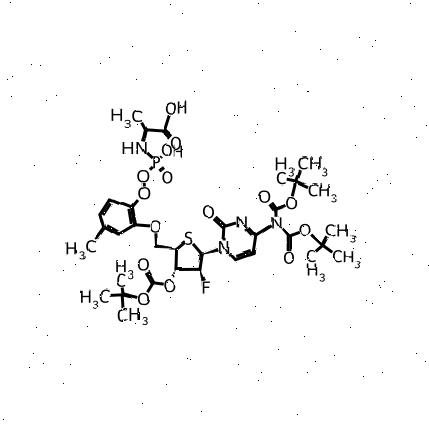 Cc1ccc(OOP(=O)(O)NC(C)C(=O)O)c(OC[C@H]2S[C@@H](n3ccc(N(C(=O)OC(C)(C)C)C(=O)OC(C)(C)C)nc3=O)[C@@H](F)[C@@H]2OC(=O)OC(C)(C)C)c1